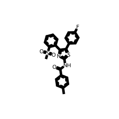 Cc1ccc(C(=O)Nc2nc(-c3ccccc3S(C)(=O)=O)c(-c3ccc(F)cc3)s2)cc1